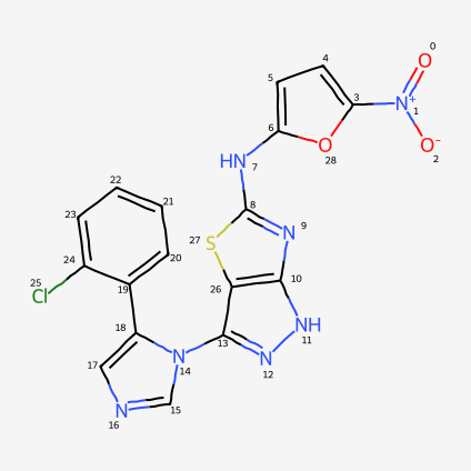 O=[N+]([O-])c1ccc(Nc2nc3[nH]nc(-n4cncc4-c4ccccc4Cl)c3s2)o1